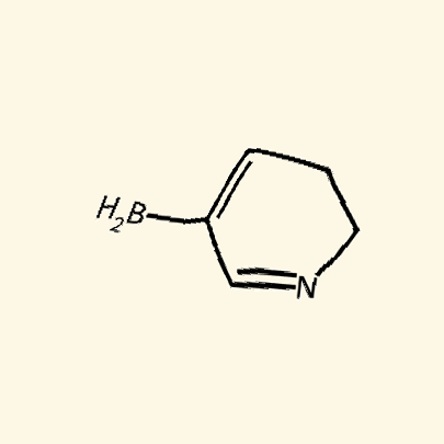 BC1=CCCN=C1